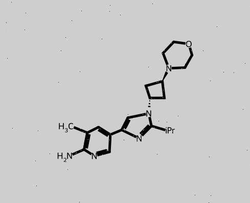 Cc1cc(-c2cn([C@H]3C[C@H](N4CCOCC4)C3)c(C(C)C)n2)cnc1N